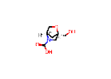 O=C(O)N1C[C@@]2(CO)C[C@@H]1CO2